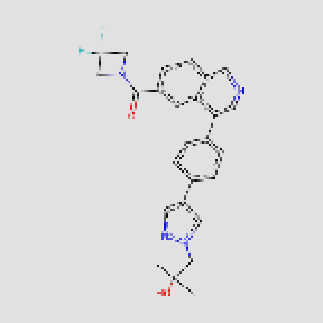 CC(C)(O)Cn1cc(-c2ccc(-c3cncc4ccc(C(=O)N5CC(F)(F)C5)cc34)cc2)cn1